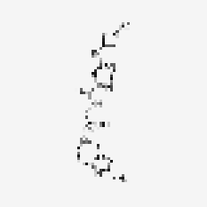 CC(=O)N1CC(Nc2cc(C(=O)NC[C@H](O)CN3CCc4nc(N)sc4C3)ncn2)C1